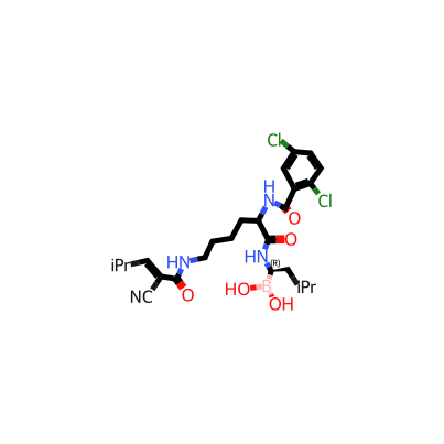 CC(C)C=C(C#N)C(=O)NCCCCC(NC(=O)c1cc(Cl)ccc1Cl)C(=O)N[C@@H](CC(C)C)B(O)O